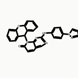 O=c1ccc2cnc(Nc3ccc(-n4cccn4)cc3)nc2n1C1c2ccccc2Oc2ccccc21